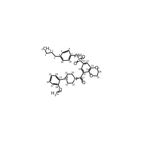 CCCCc1ccc(NS(=O)(=O)c2cc3c(c(C(=O)N4CCN(c5ccccc5OC)CC4)c2)OCCO3)cc1